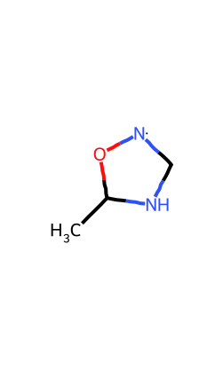 CC1NC[N]O1